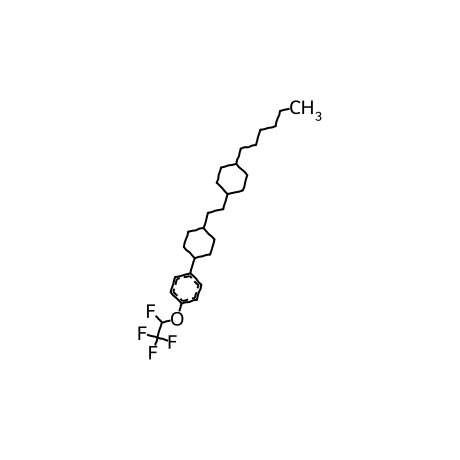 CCCCCCC1CCC(CCC2CCC(c3ccc(OC(F)C(F)(F)F)cc3)CC2)CC1